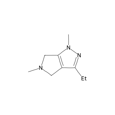 CCc1nn(C)c2c1CN(C)C2